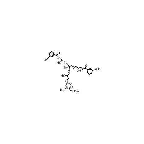 C#Cc1cccc(C(=O)OCC(O)COCC(CC)(COCC(O)COC(=O)CN(C)C(=O)CCCCCCCCCCC)COCC(O)COC(=O)c2cccc(C#C)c2)c1